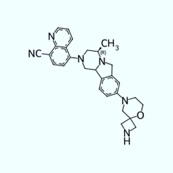 C[C@@H]1CN(c2ccc(C#N)c3ncccc23)CC2c3ccc(N4CCOC5(CNC5)C4)cc3CN21